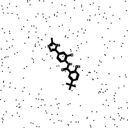 Cc1nnc(-c2ccc(NC(=O)c3cc(C(C)(C)C)ccc3O)c(Cl)c2)[nH]1